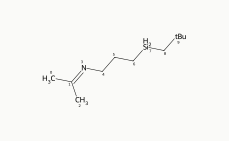 CC(C)=NCCC[SiH2]CC(C)(C)C